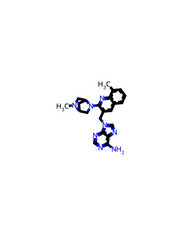 Cc1cccc2cc(Cn3cnc4c(N)ncnc43)c(N3CC4CC3CN4C)nc12